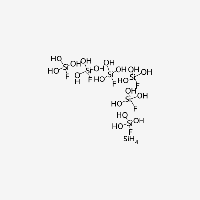 O[Si](O)(O)F.O[Si](O)(O)F.O[Si](O)(O)F.O[Si](O)(O)F.O[Si](O)(O)F.O[Si](O)(O)F.[SiH4]